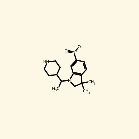 CC(C1CCNCC1)N1CC(C)(C)c2ccc([N+](=O)[O-])cc21